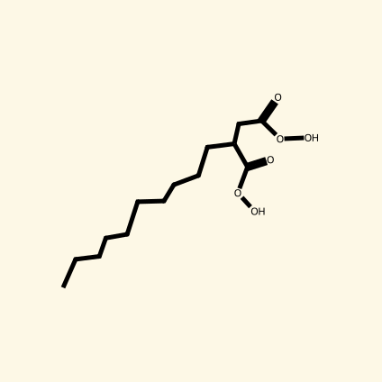 CCCCCCCCCCC(CC(=O)OO)C(=O)OO